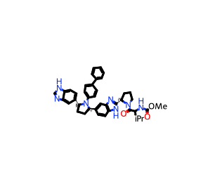 COC(=O)NC(C(=O)N1CCC[C@H]1c1nc2cc([C@H]3CC[C@H](c4ccc5[nH]cnc5c4)N3c3ccc(-c4ccccc4)cc3)ccc2[nH]1)C(C)C